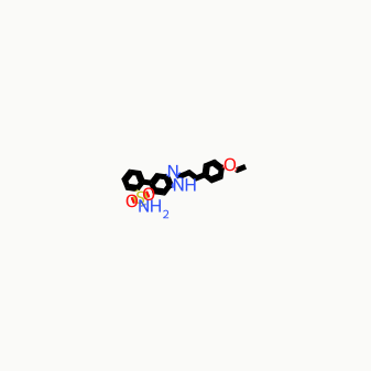 CCOc1ccc(CCc2nc3cc(-c4ccccc4S(N)(=O)=O)ccc3[nH]2)cc1